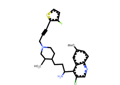 COc1ccc2ncc(Cl)c(C(N)CCC3CCN(CC#Cc4sccc4F)CC3C(=O)O)c2c1